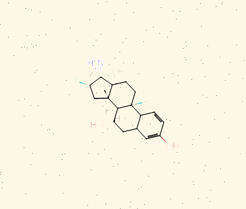 C[C@]12CC[C@@]3(F)[C@@H]([C@@H](O)CC4C=C(O)C=C[C@@]43C)[C@@H]1C[C@@H](F)[C@@H]2N